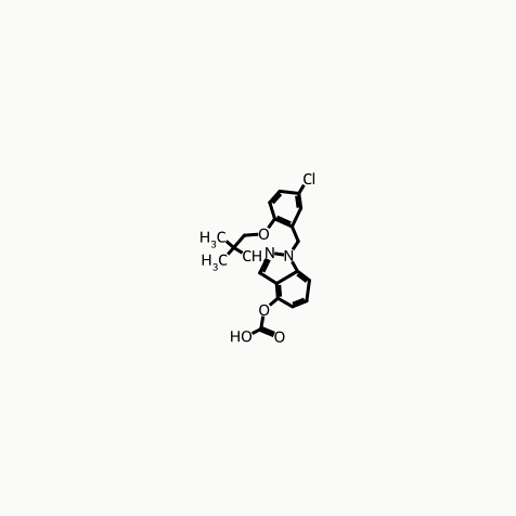 CC(C)(C)COc1ccc(Cl)cc1Cn1ncc2c(OC(=O)O)cccc21